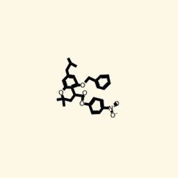 CC(C)Cc1cc(OCc2ccccc2)c2c(c1)OC(C)(C)CC2C(=O)Oc1ccc([N+](=O)[O-])cc1